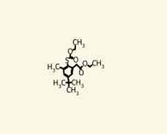 CCOC(=O)Cc1cc(C(C)(C)C)cc(C)c1SC(=O)OCC